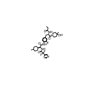 CCC(=O)N[C@@H](C(=O)N1CCC(C)(O)CC1)[C@@H](C)c1ccc(NC(=O)C(NC(=O)C(F)(F)c2cncs2)=C2CCC(C)CC2)c(F)c1